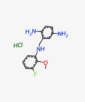 COc1c(F)cccc1NCc1cc(N)ccc1N.Cl